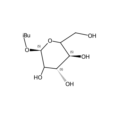 CCC(C)O[C@H]1OC(CO)[C@@H](O)[C@H](O)C1O